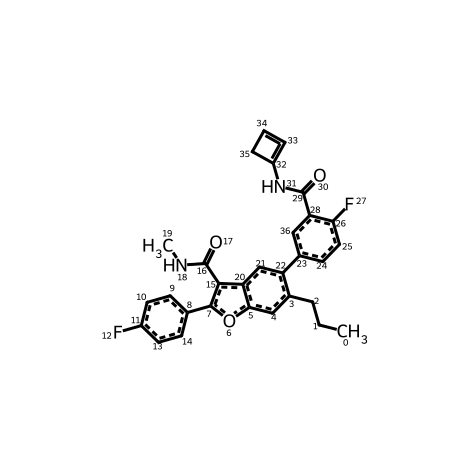 CCCc1cc2oc(-c3ccc(F)cc3)c(C(=O)NC)c2cc1-c1ccc(F)c(C(=O)NC2=C=CC2)c1